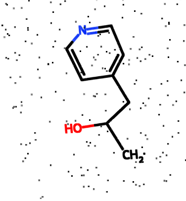 [CH2]C(O)Cc1ccncc1